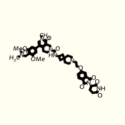 COc1cc(-c2cn(C)c(=O)c3c2CCN(C(=O)NC2CC4(CCN(CCOc5ccc6c(c5)C(=O)N(C5CCC(=O)NC5=O)C6=O)CC4)C2)C3)cc(OC)c1CN(C)C